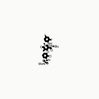 CNS(=O)(=O)Nc1cccc(Oc2c(C(=O)NC(C)(C)C)c(Nc3ccc(I)cc3F)n(C)c(=O)c2C)c1Cl